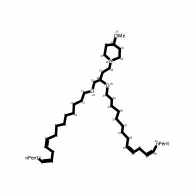 CCCCC/C=C\C/C=C\CCCCCCCCOCC(CCN1CCC(OC)CC1)OCCCCCCCC/C=C\C/C=C\CCCCC